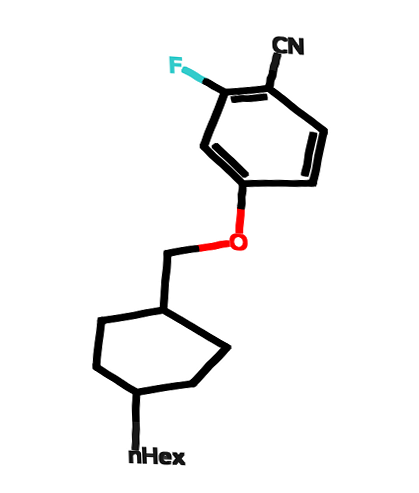 CCCCCCC1CCC(COc2ccc(C#N)c(F)c2)CC1